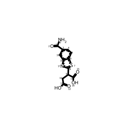 NC(=O)c1ccc2sc(C(CC(=O)O)C(=O)O)nc2c1